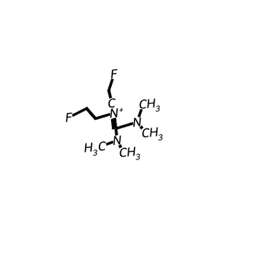 CN(C)C(N(C)C)=[N+](CCF)CCF